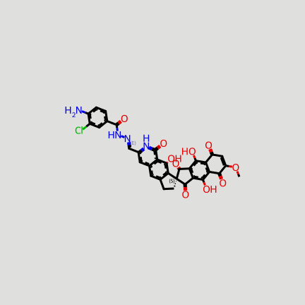 COC1=CC(=O)c2c(O)c3c(c(O)c2C1=O)C(=O)[C@]1(CCc2cc4cc(/C=N/NC(=O)c5ccc(N)c(Cl)c5)[nH]c(=O)c4c(O)c21)C3=O